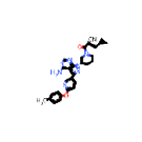 Cc1ccc(Oc2ccc(-c3nn([C@@H]4CCCN(C(=O)C(C#N)=CC5CC5)C4)c4ncnc(N)c34)cn2)cc1